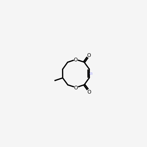 CC1CCOC(=O)/C=C\C(=O)OC1